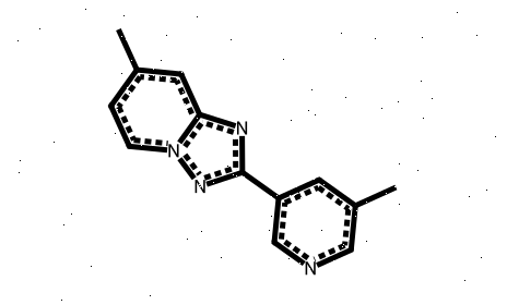 Cc1cncc(-c2nc3cc(C)ccn3n2)c1